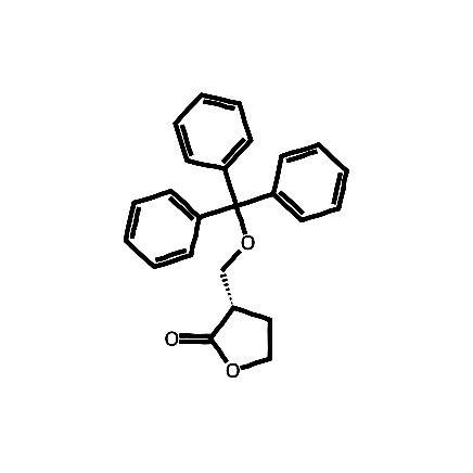 O=C1OCC[C@H]1COC(c1ccccc1)(c1ccccc1)c1ccccc1